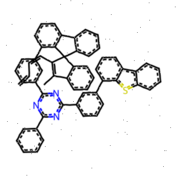 C=C/C=C\C1=C(C)c2ccccc2C12c1ccccc1-c1cccc(-c3cccc(-c4nc(-c5ccccc5)nc(-c5cccc(-c6cccc7c6sc6ccccc67)c5)n4)c3)c12